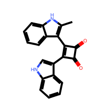 Cc1[nH]c2ccccc2c1-c1c(-c2c[nH]c3ccccc23)c(=O)c1=O